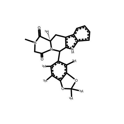 [2H]c1c([2H])c(C2c3[nH]c4ccccc4c3C[C@]3([2H])C(=O)N(C)CC(=O)N23)c([2H])c2c1OC([2H])([2H])O2